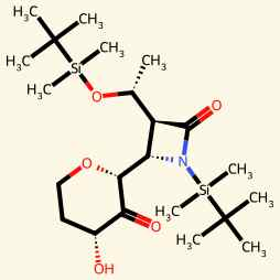 C[C@@H](O[Si](C)(C)C(C)(C)C)[C@H]1C(=O)N([Si](C)(C)C(C)(C)C)[C@@H]1[C@H]1OCC[C@@H](O)C1=O